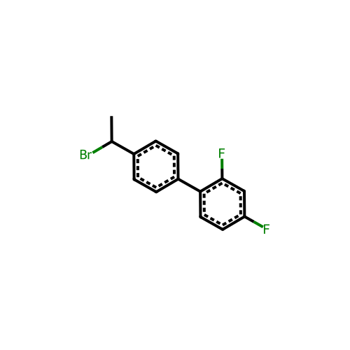 CC(Br)c1ccc(-c2ccc(F)cc2F)cc1